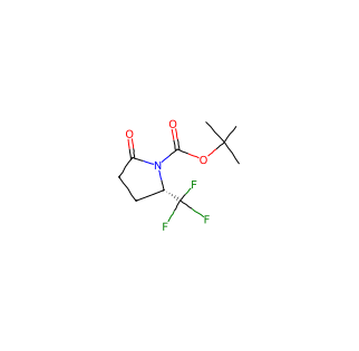 CC(C)(C)OC(=O)N1C(=O)CC[C@H]1C(F)(F)F